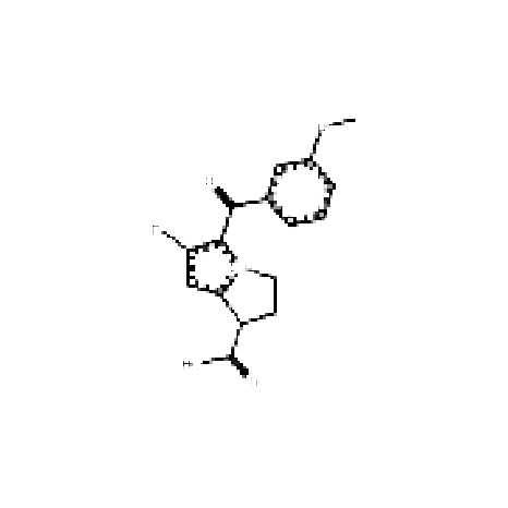 COc1cccc(C(=O)c2c(Cl)cc3n2CCC3C(=O)O)c1